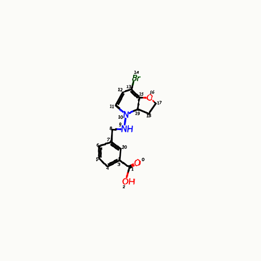 O=C(O)c1cccc(CNN2C=CC(Br)=C3OCCC32)c1